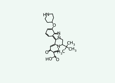 CC(C)(C)C1Cn2nc3c(OC4CCNCC4)cccc3c2-c2cc(=O)c(C(=O)O)cn21